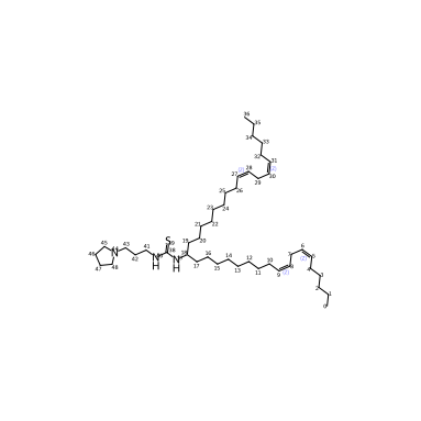 CCCCC/C=C\C/C=C\CCCCCCCCC(CCCCCCCC/C=C\C/C=C\CCCCC)NC(=S)NCCCN1CCCC1